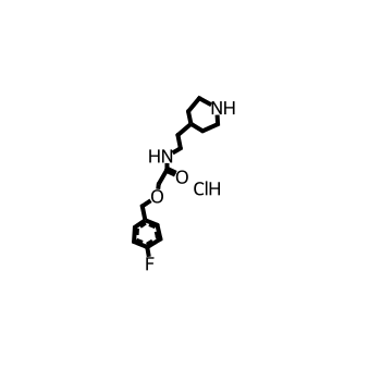 Cl.O=C(COCc1ccc(F)cc1)NCCC1CCNCC1